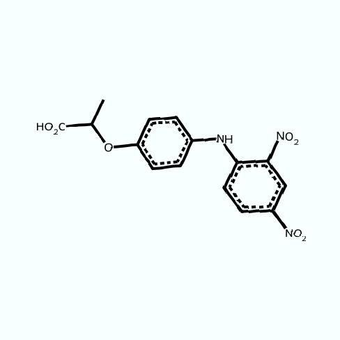 CC(Oc1ccc(Nc2ccc([N+](=O)[O-])cc2[N+](=O)[O-])cc1)C(=O)O